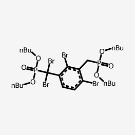 CCCCOP(=O)(Cc1c(Br)ccc(C(Br)(Br)P(=O)(OCCCC)OCCCC)c1Br)OCCCC